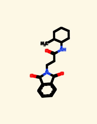 CC1CCCCC1NC(=O)CCN1C(=O)c2ccccc2C1=O